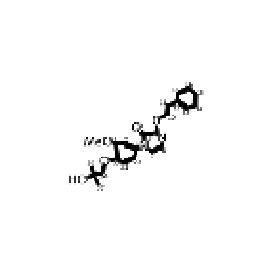 COc1cc(-n2ccnc(OCCc3ccccc3)c2=O)ccc1OCC(C)(C)O